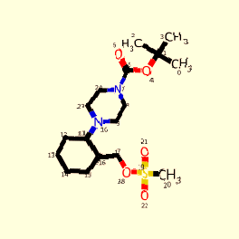 CC(C)(C)OC(=O)N1CCN(C2CCCCC2COS(C)(=O)=O)CC1